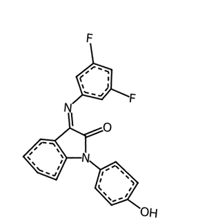 O=C1/C(=N\c2cc(F)cc(F)c2)c2ccccc2N1c1ccc(O)cc1